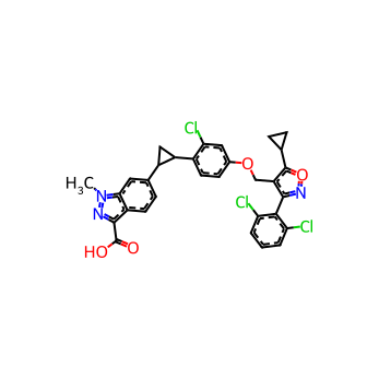 Cn1nc(C(=O)O)c2ccc(C3CC3c3ccc(OCc4c(-c5c(Cl)cccc5Cl)noc4C4CC4)cc3Cl)cc21